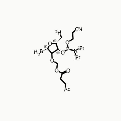 [2H]C[C@H]1O[C@@H](B)C(OCOC(=O)CCC(C)=O)[C@H]1OP(OCCC#N)N(C(C)C)C(C)C